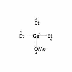 C[CH2][Ge]([CH2]C)([CH2]C)[O]C